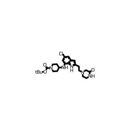 CC(C)(C)OC(=O)N1CCC(Nc2cc(Cl)cc3cc(CCN4CCNC(=O)C4)[nH]c23)CC1